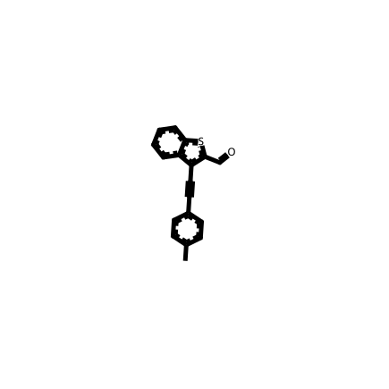 Cc1ccc(C#Cc2c(C=O)sc3ccccc23)cc1